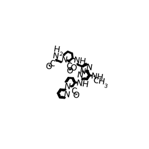 CNc1cc(NC2=CC=CN(c3ccccn3)C2=C=O)nn2c(C(=O)N[C@@H]3CCCN(CC(N)=C=O)C3=C=O)cnc12